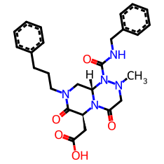 CN1CC(=O)N2[C@@H](CC(=O)O)C(=O)N(CCCc3ccccc3)C[C@@H]2N1C(=O)NCc1ccccc1